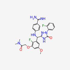 COc1cc(OCC(=O)N(C)C)c(F)c(C(Nc2ccc(C(=N)N)cc2)c2nn(-c3ccccc3F)c(=O)[nH]2)c1